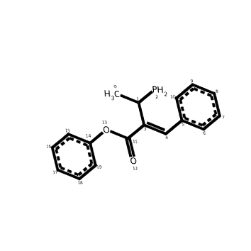 CC(P)C(=Cc1ccccc1)C(=O)Oc1ccccc1